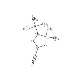 CC(C)(C)N1CC(C#N)CC1(C)C